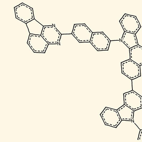 c1ccc(-n2c3ccccc3c3cc(-c4ccc5c(ccc6c7ccccc7n(-c7ccc8cc(-c9nc%10c%11c(cccc%11n9)-c9ccccc9-%10)ccc8c7)c56)c4)ccc32)cc1